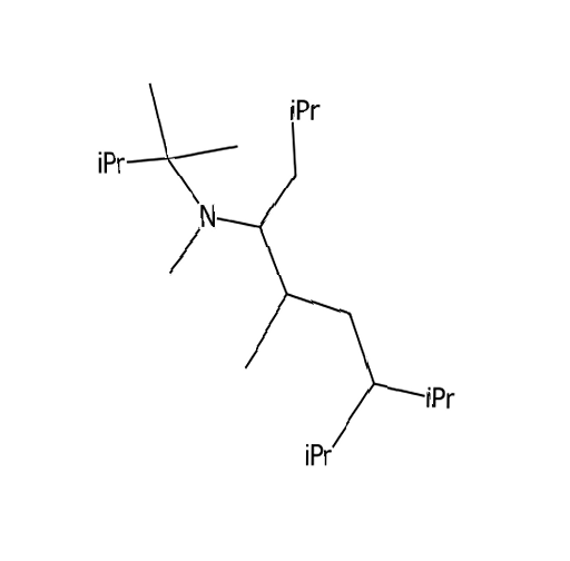 CC(C)CC(C(C)CC(C(C)C)C(C)C)N(C)C(C)(C)C(C)C